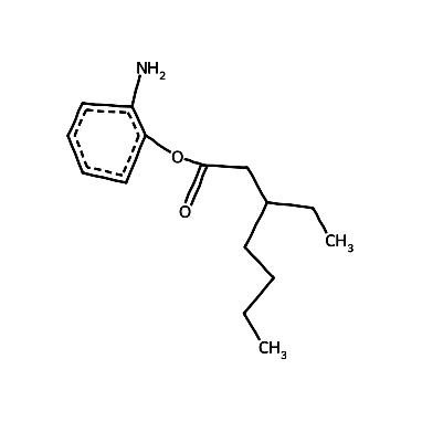 CCCCC(CC)CC(=O)Oc1ccccc1N